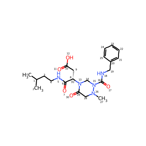 CC(C)CCNC(=O)[C@H](CC(=O)O)N1CN(C(=O)NCc2ccccc2)N(C)CC1=O